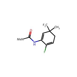 CNC(=O)NC1=CC(C)(C(F)(F)F)CC=C1F